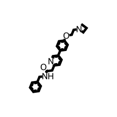 O=C(Cc1ccc(-c2ccc(OCCN3CCC3)cc2)cn1)NCc1ccccc1